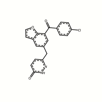 O=C(c1ccc(Cl)cc1)c1cc(Cc2ccc(=O)[nH]n2)cc2ccoc12